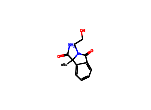 CCCCC1(C(N)=O)c2ccccc2C(=O)N1CCO